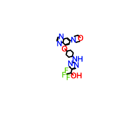 OC(c1cnc(NC2CCC(Oc3cc(N4CCOCC4)cc4nccnc34)CC2)nc1)C(F)(F)F